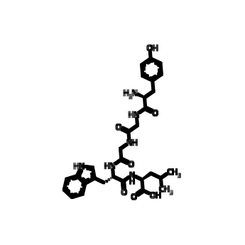 CC(C)C[C@H](NC(=O)[C@H](Cc1c[nH]c2ccccc12)NC(=O)CNC(=O)CNC(=O)[C@@H](N)Cc1ccc(O)cc1)C(=O)O